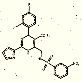 CCOC(=O)C1=C(CNS(=O)(=O)c2cccc([N+](=O)[O-])c2)NC(c2nccs2)=NC1c1ccc(F)cc1Br